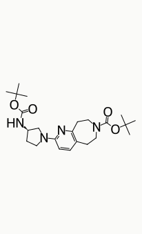 CC(C)(C)OC(=O)N[C@@H]1CCN(c2ccc3c(n2)CCN(C(=O)OC(C)(C)C)CC3)C1